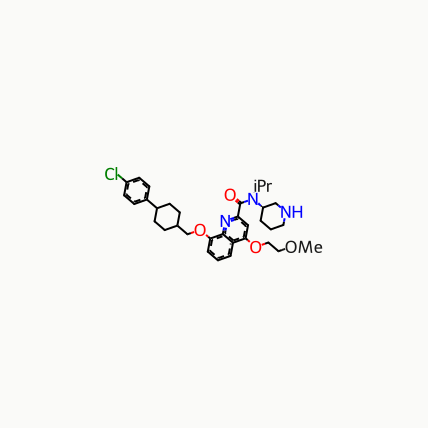 COCCOc1cc(C(=O)N(C(C)C)[C@@H]2CCCNC2)nc2c(OCC3CCC(c4ccc(Cl)cc4)CC3)cccc12